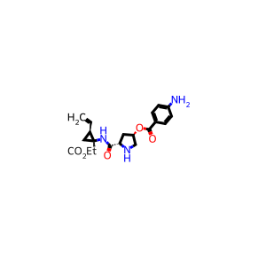 C=C[C@@H]1C[C@]1(NC(=O)[C@@H]1C[C@@H](OC(=O)c2ccc(N)cc2)CN1)C(=O)OCC